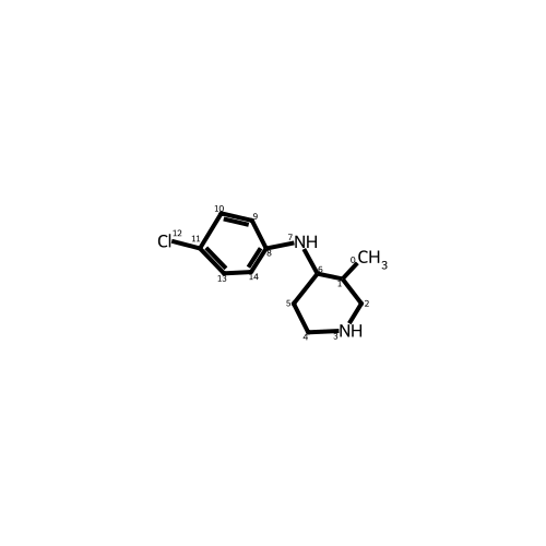 CC1CNCCC1Nc1ccc(Cl)cc1